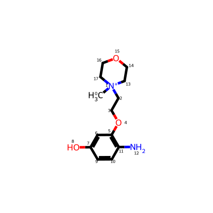 C[N+]1(CCOc2cc(O)ccc2N)CCOCC1